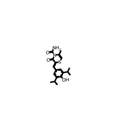 CC1=CSC(=Cc2cc(C(C)C)c(O)c(C(C)C)c2)C(=O)N1C(N)=O